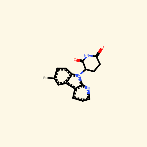 CCC(C)c1ccc2c(c1)c1cccnc1n2C1CCC(=O)NC1=O